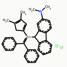 CC1=C(C)C[C]([Zr+2](=[C](c2ccccc2)c2ccccc2)[CH]2c3ccccc3-c3ccc(N(C)C)cc32)=C1.[Cl-].[Cl-]